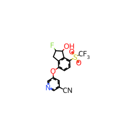 N#Cc1cncc(Oc2ccc(S(=O)(=O)C(F)(F)F)c3c2CC(F)C3O)c1